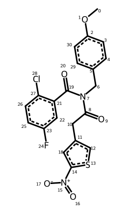 COc1ccc(CN(C(=O)Cc2csc([N+](=O)[O-])c2)C(=O)c2cc(F)ccc2Cl)cc1